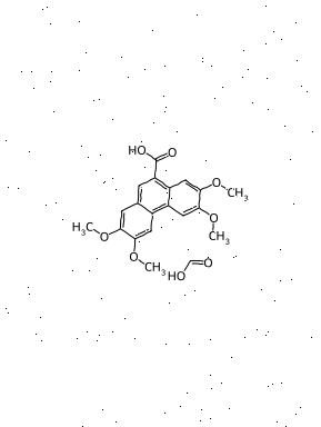 COc1cc2cc(C(=O)O)c3cc(OC)c(OC)cc3c2cc1OC.O=CO